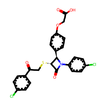 O=C(O)COc1ccc([C@@H]2[C@@H](SCC(=O)c3ccc(Cl)cc3)C(=O)N2c2ccc(Cl)cc2)cc1